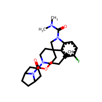 C#CCCOC(=O)N1C2CCC1CC(N1CCC3(CC1)CN(C(=O)N(C)C)c1ccc(F)cc13)C2